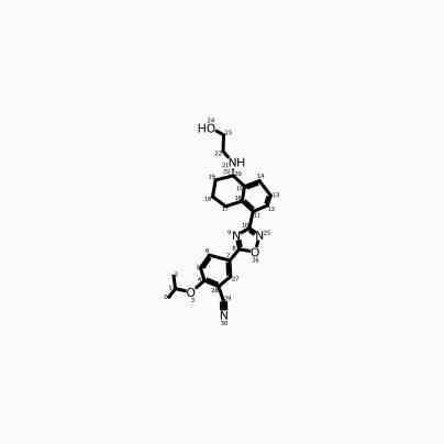 CC(C)Oc1ccc(-c2nc(-c3cccc4c3CCC[C@@H]4NCCO)no2)cc1C#N